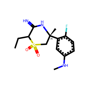 CCC1C(=N)N[C@](C)(c2cc(NC)ccc2F)CS1(=O)=O